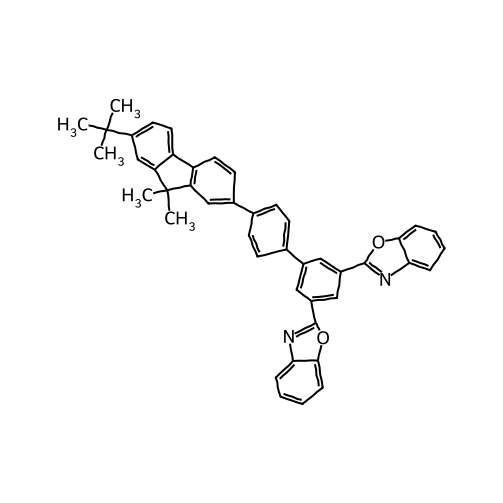 CC(C)(C)c1ccc2c(c1)C(C)(C)c1cc(-c3ccc(-c4cc(-c5nc6ccccc6o5)cc(-c5nc6ccccc6o5)c4)cc3)ccc1-2